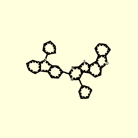 c1ccc(-c2nc(-c3ccc4c5ccccc5n(-c5ccccc5)c4c3)nc3sc4c(ccc5oc6ccccc6c54)c23)cc1